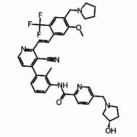 COc1cc(/C=C/c2nccc(-c3cccc(NC(=O)c4ccc(CN5CC[C@@H](O)C5)cn4)c3C)c2C#N)c(C(F)(F)F)cc1CN1CCCC1